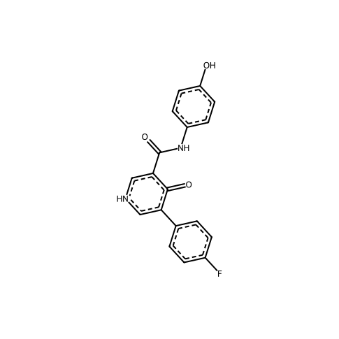 O=C(Nc1ccc(O)cc1)c1c[nH]cc(-c2ccc(F)cc2)c1=O